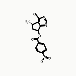 C[C@@H]1CC(OC(=O)c2ccc([N+](=O)[O-])cc2)c2ncnc(Cl)c21